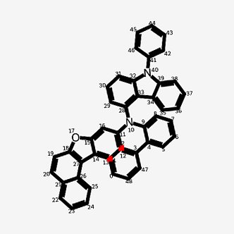 c1ccc(-c2ccccc2N(c2ccc3c(c2)oc2ccc4ccccc4c23)c2cccc3c2c2ccccc2n3-c2ccccc2)cc1